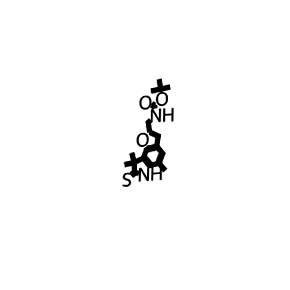 Cc1cc2c(c3c1NC(=S)C3(C)C)OC(CNC(=O)OC(C)(C)C)C2